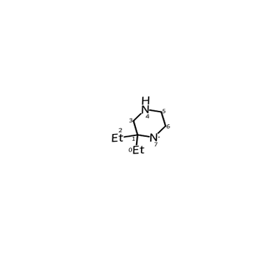 CCC1(CC)CNCC[N]1